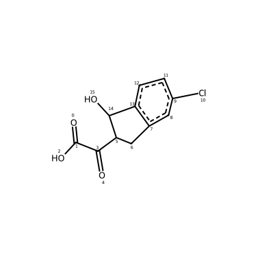 O=C(O)C(=O)C1Cc2cc(Cl)ccc2C1O